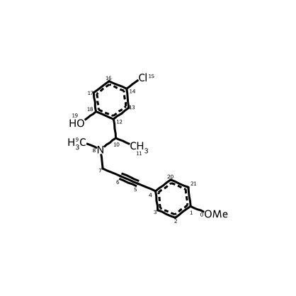 COc1ccc(C#CCN(C)C(C)c2cc(Cl)ccc2O)cc1